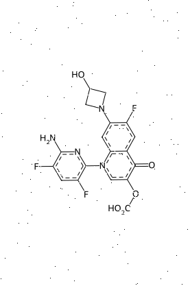 Nc1nc(-n2cc(OC(=O)O)c(=O)c3cc(F)c(N4CC(O)C4)cc32)c(F)cc1F